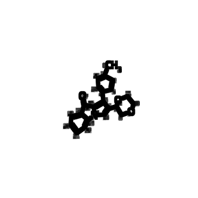 Cc1ccc(-c2c(C3COCCO3)cn3c2C(=O)c2ccccc2-3)cc1